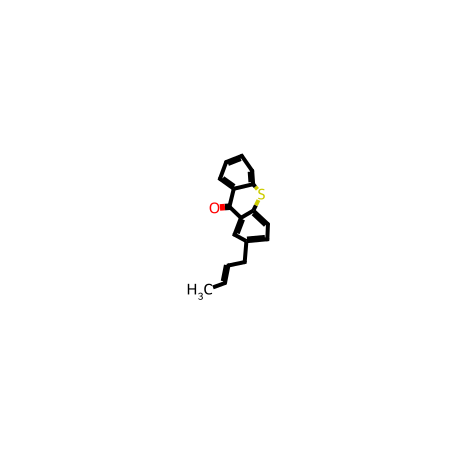 CC=CCc1ccc2sc3ccccc3c(=O)c2c1